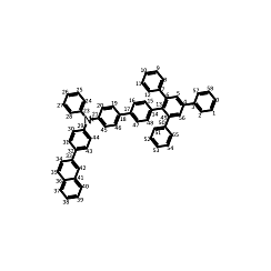 c1ccc(-c2cc(-c3ccccc3)c(-c3ccc(-c4ccc(N(c5ccccc5)c5ccc(-c6ccc7ccccc7c6)cc5)cc4)cc3)c(-c3ccccc3)c2)cc1